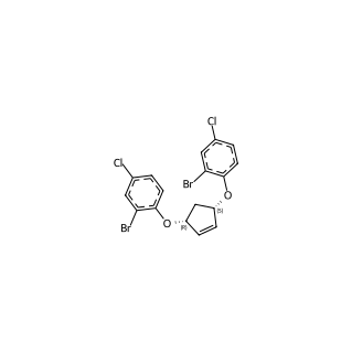 Clc1ccc(O[C@@H]2C=C[C@H](Oc3ccc(Cl)cc3Br)C2)c(Br)c1